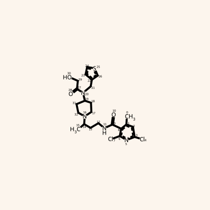 Cc1cc(Cl)nc(Cl)c1C(=O)NCCC(C)N1CCC(N(Cc2ccsc2)C(=O)CO)CC1